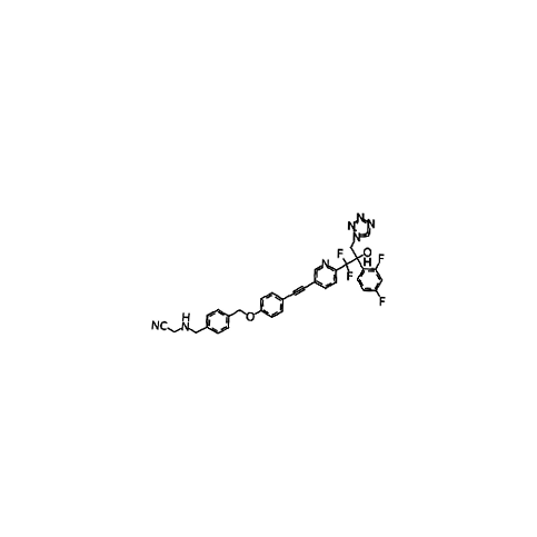 N#CCNCc1ccc(COc2ccc(C#Cc3ccc(C(F)(F)C(O)(Cn4cnnn4)c4ccc(F)cc4F)nc3)cc2)cc1